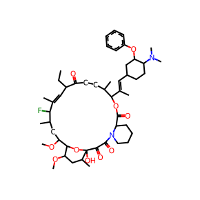 CCC1/C=C(\C)C(F)C(C)CC(OC)C2OC(O)(C(=O)C(=O)N3CCCCC3C(=O)OC(C(C)=CC3CCC(N(C)C)C(Oc4ccccc4)C3)C(C)CCC1=O)C(C)CC2OC